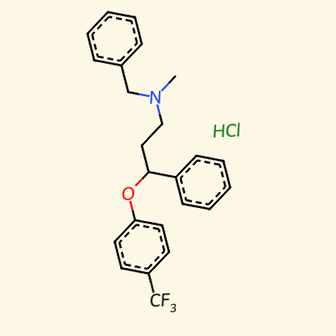 CN(CCC(Oc1ccc(C(F)(F)F)cc1)c1ccccc1)Cc1ccccc1.Cl